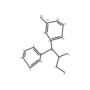 CCC(C)C(c1ccccc1)c1cccc(C)c1